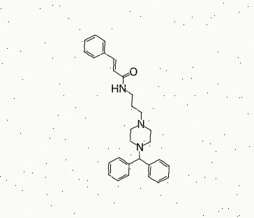 O=C(/C=C/c1ccccc1)NCCCN1CCN(C(c2ccccc2)c2ccccc2)CC1